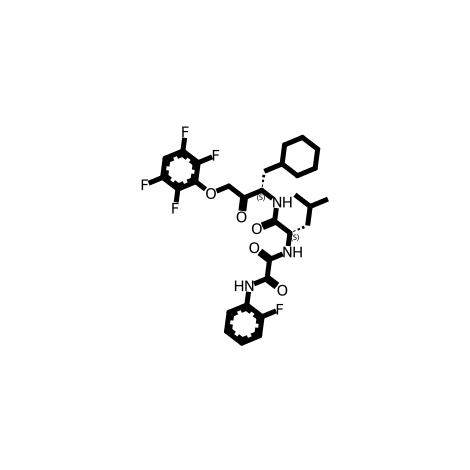 CC(C)C[C@H](NC(=O)C(=O)Nc1ccccc1F)C(=O)N[C@@H](CC1CCCCC1)C(=O)COc1c(F)c(F)cc(F)c1F